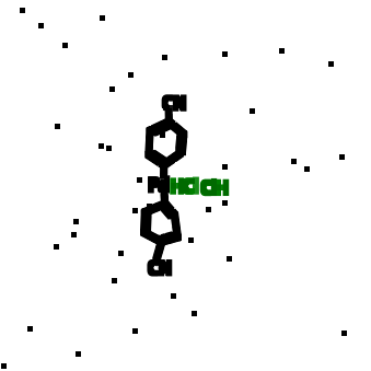 Cl.Cl.N#Cc1cc[c]([Pd][c]2ccc(C#N)cc2)cc1